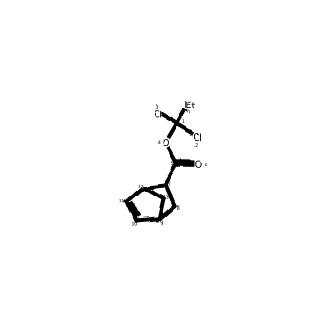 CCC(Cl)(Cl)OC(=O)C1CC2C=CC1C2